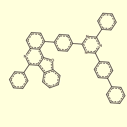 c1ccc(-c2ccc(-c3nc(-c4ccccc4)nc(-c4ccc(-c5cccc6nc(-c7ccccc7)c7c8ccccc8oc7c56)cc4)n3)cc2)cc1